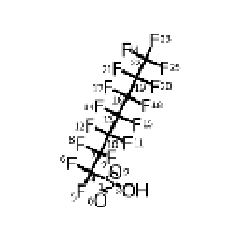 O=S(=O)(O)C(F)(F)C(F)(F)C(F)(F)C(F)(F)C(F)(F)C(F)(F)C(F)(F)F